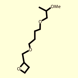 COC(C)COCCCCOCC1CCO1